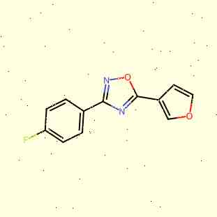 Fc1ccc(-c2noc(-c3ccoc3)n2)cc1